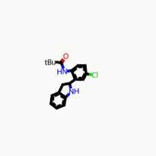 CC(C)(C)C(=O)Nc1ccc(Cl)cc1C1Cc2ccccc2N1